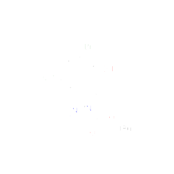 CC(C)(C)OC(=O)N(N)Cc1cc(Cl)cc(Br)c1O